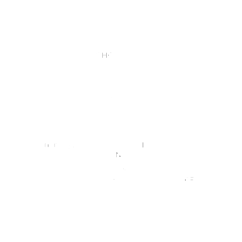 CCCOc1ccc(-c2cccc(C=O)c2F)cc1CNC(=O)c1ccc(C(F)(F)F)cc1F